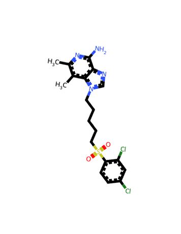 Cc1nc(N)c2ncn(CCCCCS(=O)(=O)c3ccc(Cl)cc3Cl)c2c1C